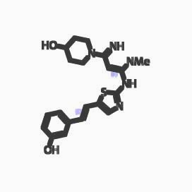 CN/C(=C\C(=N)N1CCC(O)CC1)Nc1ncc(/C=C/c2cccc(O)c2)s1